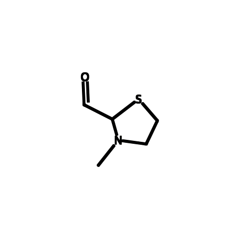 CN1CCSC1C=O